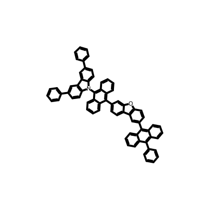 c1ccc(-c2ccc3c(c2)c2cc(-c4ccccc4)ccc2n3-c2c3ccccc3c(-c3ccc4c(c3)oc3ccc(-c5c6ccccc6c(-c6ccccc6)c6ccccc56)cc34)c3ccccc23)cc1